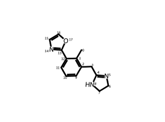 Cc1c(CC2=NCCN2)cccc1-c1ncco1